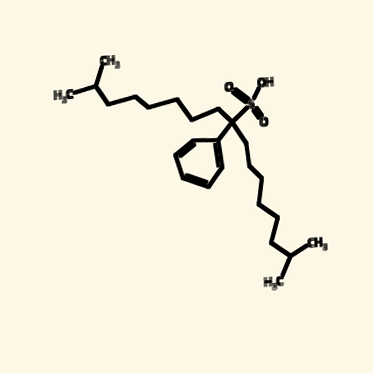 CC(C)CCCCCCC(CCCCCCC(C)C)(c1ccccc1)S(=O)(=O)O